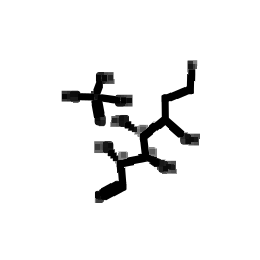 O=P(O)(O)O.OC(CCF)[C@@H](O)[C@@H](O)[C@@H](O)C=S